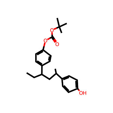 CCC(CC(C)c1ccc(O)cc1)c1ccc(OC(=O)OC(C)(C)C)cc1